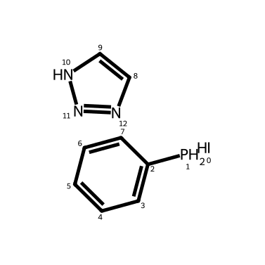 I.Pc1ccccc1.c1c[nH]nn1